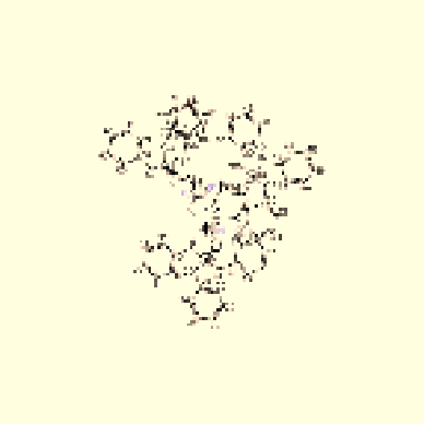 CCC(=N\O[Si](Cc1ccccc1)(Cc1ccccc1)Cc1ccccc1)/C(=N\O[Si](Cc1ccccc1)(Cc1ccccc1)Cc1ccccc1)C(/C)=N/O[Si](Cc1ccccc1)(Cc1ccccc1)Cc1ccccc1